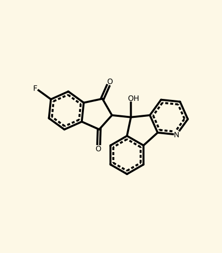 O=C1c2ccc(F)cc2C(=O)C1C1(O)c2ccccc2-c2ncccc21